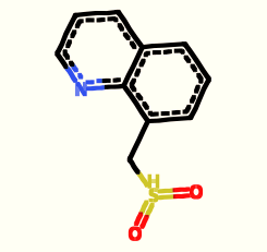 O=[SH](=O)Cc1cccc2cccnc12